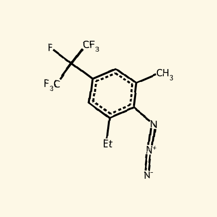 CCc1cc(C(F)(C(F)(F)F)C(F)(F)F)cc(C)c1N=[N+]=[N-]